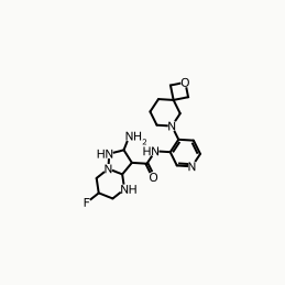 NC1NN2CC(F)CNC2C1C(=O)Nc1cnccc1N1CCCC2(COC2)C1